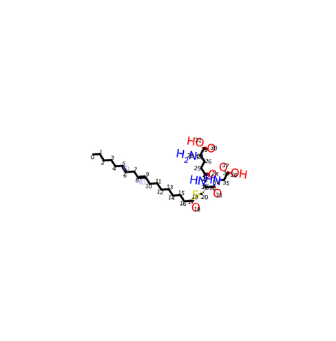 CCCCC/C=C/C/C=C/CCCCCCCC(=O)SC[C@H](NC(=O)CC[C@H](N)C(=O)O)C(=O)NCC(=O)O